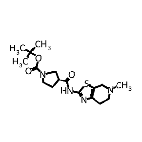 CN1CCc2nc(NC(=O)[C@H]3CCN(C(=O)OC(C)(C)C)C3)sc2C1